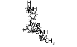 Cc1cc(NC(=O)CS(=O)(=O)c2cn(Cc3cccc(N4C=CNN4)c3)c3cc(F)cc(F)c23)no1